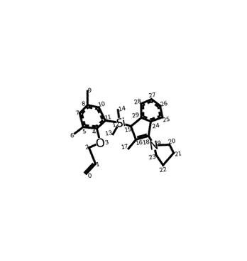 C=CCOc1c(C)cc(C)cc1[Si](C)(C)C1C(C)=C(N2CCCC2)c2ccccc21